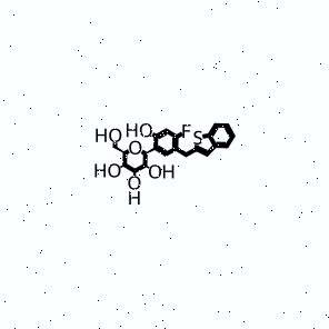 OC[C@H]1O[C@@H](c2cc(Cc3cc4ccccc4s3)c(F)cc2O)[C@H](O)[C@@H](O)[C@@H]1O